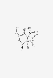 O=C1CC(SF)=C(SF)C(SF)(SF)C1(Cl)SF